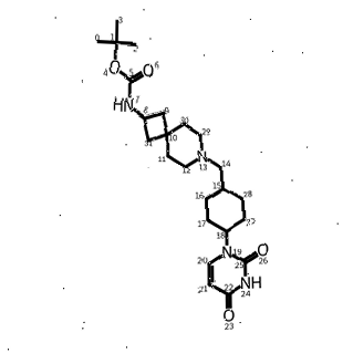 CC(C)(C)OC(=O)NC1CC2(CCN(CC3CCC(n4ccc(=O)[nH]c4=O)CC3)CC2)C1